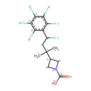 CC(C)(CC(F)c1c(F)c(F)c(F)c(F)c1F)C1CN(C(=O)O)C1